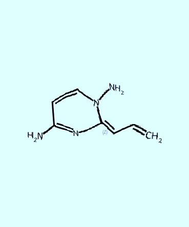 C=C/C=C1/N=C(N)C=CN1N